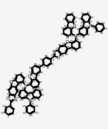 c1ccc(-c2nc3cc4c(cc3o2)oc2cccc(N(c3cccc5c3oc3ccc(-c6ccc(-c7nc8cc9oc%10c(N(c%11ccc%12c(c%11)c%11ccccc%11n%12-c%11ccccc%11)c%11cccc%12c%11oc%11ccccc%11%12)cccc%10c9cc8o7)cc6)cc35)c3cccc5c3c3ccccc3n5-c3ccccc3)c24)cc1